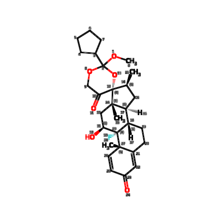 COC1(C2CCCC2)OCC(=O)[C@@]2(O1)[C@@H](C)C[C@H]1[C@@H]3CCC4=CC(=O)C=C[C@]4(C)[C@@]3(F)[C@@H](O)C[C@@]12C